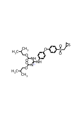 CC(C)COC(=O)/N=C(\NC(=O)OCC(C)C)Nc1ccc(Oc2ccc(S(=O)(=O)CC3CS3)cc2)cc1